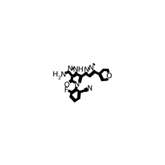 Cn1nc(-c2cn(-c3c(F)cccc3C#N)c(=O)c3c(N)n[nH]c23)cc1C1=CCOCC1